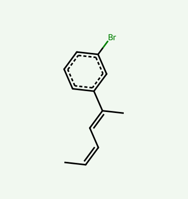 C/C=C\C=C(/C)c1cccc(Br)c1